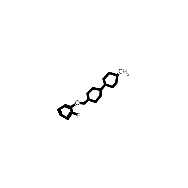 CC1CCC(C2CCC(COc3ccccc3F)CC2)CC1